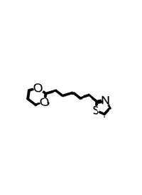 [CH]1CN=C(CCCCCC2OCCCO2)S1